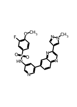 COc1ccc(S(=O)(=O)Nc2cncc(-c3ccc4ncc(-c5cnn(C)c5)nc4c3)c2)cc1F